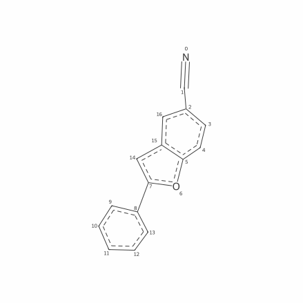 N#Cc1ccc2oc(-c3ccccc3)cc2c1